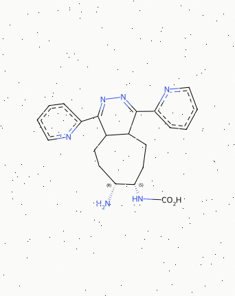 N[C@@H]1CCC2C(c3ccccn3)=NN=C(c3ccccn3)C2CC[C@@H]1NC(=O)O